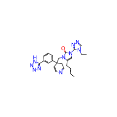 CCCCc1cn(-c2nncn2CC)c(=O)n1CC1(c2cccc(-c3nnn[nH]3)c2)C=CN=CC1